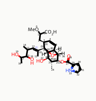 COC(C[C@H]1C=C[C@H]2[C@H]3O[C@]1(/C(C)=C/C(C)C(O)C(C)O)[C@@H]2[C@H](O)[C@@H](C)[C@H]3OC(=O)c1ccc[nH]1)C(=O)O